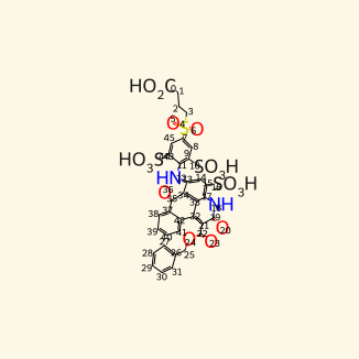 O=C(O)CCCS(=O)(=O)c1cc(S(=O)(=O)O)c(Nc2cc(S(=O)(=O)O)c3[nH]c(=O)c(C(=O)OCc4ccccc4)c4c3c2C(=O)c2ccccc2-4)c(S(=O)(=O)O)c1